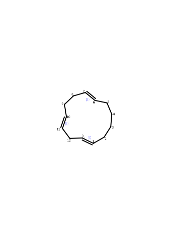 [C]1=C/CCCC/C=C/CC/C=C/C/1